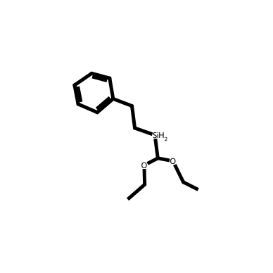 CCOC(OCC)[SiH2]CCc1ccccc1